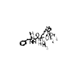 C=CN(C)c1ccnn1CCCC(C)NC(=O)c1nnc(Cc2ccccc2)[nH]1